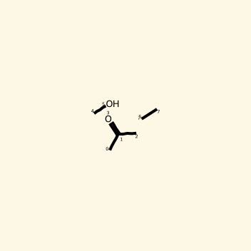 CC(C)=O.CO.[CH2]C